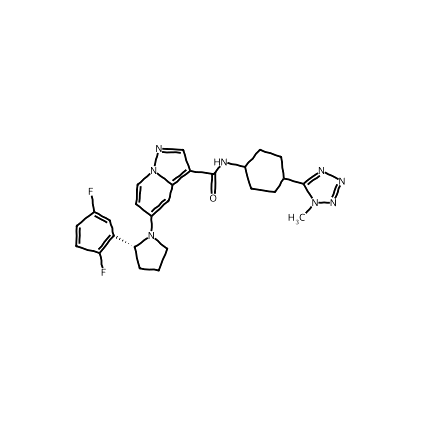 Cn1nnnc1C1CCC(NC(=O)c2cnn3ccc(N4CCC[C@@H]4c4cc(F)ccc4F)cc23)CC1